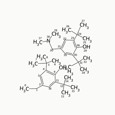 CCc1cc(C(C)(C)C)c(O)c(C(C)(C)C)c1.CN(C)Cc1cc(C(C)(C)C)c(O)c(C(C)(C)C)c1